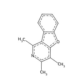 Cc1nc(C)c2c(oc3ccccc32)c1C